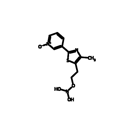 Cc1nc(-c2ccc[n+]([O-])c2)sc1CCON(O)O